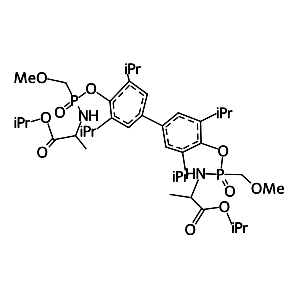 COCP(=O)(NC(C)C(=O)OC(C)C)Oc1c(C(C)C)cc(-c2cc(C(C)C)c(OP(=O)(COC)NC(C)C(=O)OC(C)C)c(C(C)C)c2)cc1C(C)C